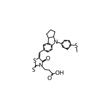 CSc1ccc(N2c3ccc(/C=C4/SC(=S)N(CCC(=O)O)C4=O)cc3C3CCCC32)cc1